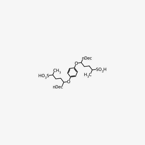 CCCCCCCCCCC(CCC(C)S(=O)(=O)O)Oc1ccc(OC(CCCCCCCCCC)CCC(C)S(=O)(=O)O)cc1